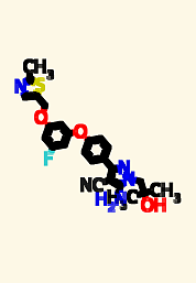 Cc1ncc(COc2cc(F)cc(Oc3ccc(-c4nn(CC(C)(C)O)c(N)c4C#N)cc3)c2)s1